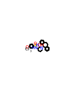 CN=S(=O)(NC1CCCN(C2c3ccccc3CCc3ccccc32)C1O)c1ccc(OC(F)(F)F)cc1